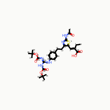 CC/C(=C\c1sc(NC(C)=O)nc1CCc1ccc(NC(=NC(=O)OC(C)(C)C)NC(=O)OC(C)(C)C)cc1)C(=O)O